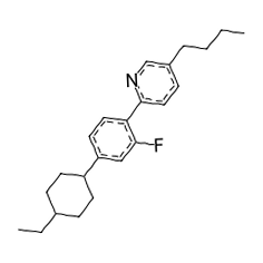 CCCCc1ccc(-c2ccc(C3CCC(CC)CC3)cc2F)nc1